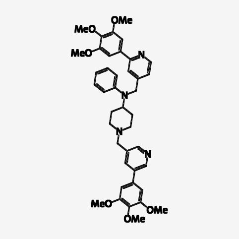 COc1cc(-c2cncc(CN3CCC(N(Cc4ccnc(-c5cc(OC)c(OC)c(OC)c5)c4)c4ccccc4)CC3)c2)cc(OC)c1OC